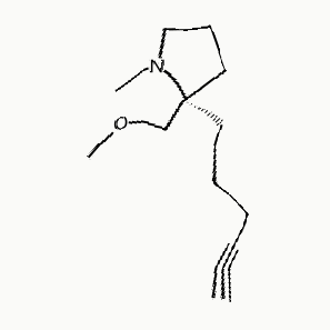 C#CCCC[C@@]1(COC)CCCN1C